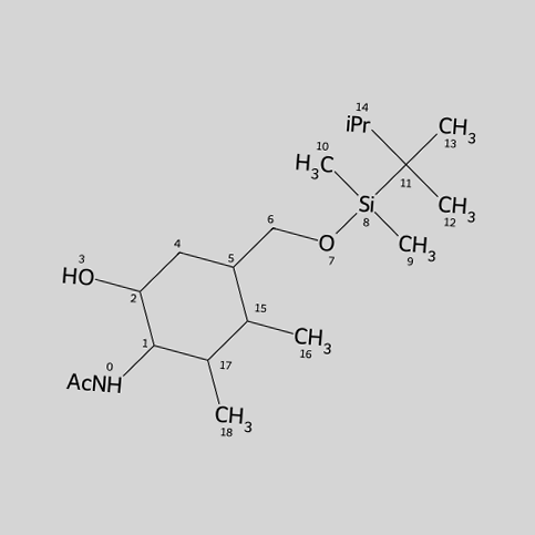 CC(=O)NC1C(O)CC(CO[Si](C)(C)C(C)(C)C(C)C)C(C)C1C